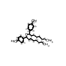 CCCCCCCC(OC(CCCCCCC)c1ccc(O)cc1)c1ccc(O)cc1